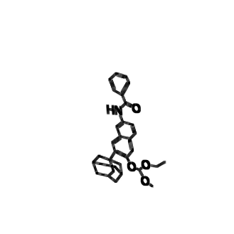 CCOC(OC)Oc1cc2ccc(NC(=O)c3ccccc3)cc2cc1C12CC3CC(CC(C3)C1)C2